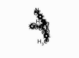 COc1ccc(S(=O)(=O)N2CCC(CC(=O)NOC3CCCCO3)(c3ccc(-c4ccc(-c5cnco5)cc4)s3)S(=O)(=O)CC2)cc1